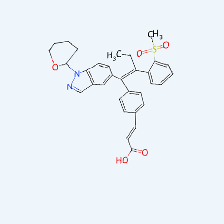 CC/C(=C(/c1ccc(/C=C/C(=O)O)cc1)c1ccc2c(cnn2C2CCCCO2)c1)c1ccccc1S(C)(=O)=O